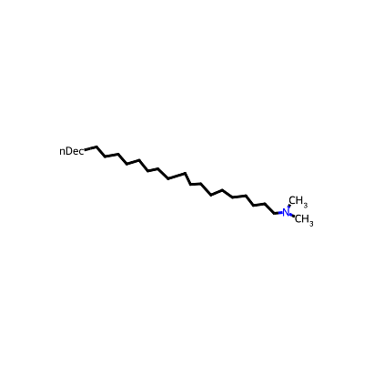 [CH2]CCCCCCCCCCCCCCCCCCCCCCCCCCCN(C)C